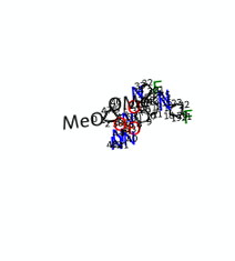 COc1ccc(CN([C@H]2CCC3=Cc4c(cnn4-c4ccc(F)cc4)C[C@]3(C(=O)c3cc(F)ccn3)C2)S(=O)(=O)c2ncn(C)n2)c(OC)c1